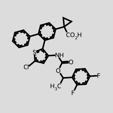 CC(OC(=O)Nc1cc(Cl)sc1-c1cc(C2(C(=O)O)CC2)ccc1-c1ccccc1)c1ccc(F)cc1F